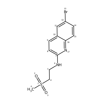 CS(=O)(=O)CCNc1ccc2cc(Br)ccc2n1